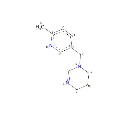 Cc1ccc(CN2C=NCCC2)cn1